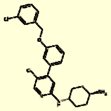 N[C@H]1CC[C@H](Nc2cc(-c3cccc(OCc4cccc(Cl)c4)c3)c(Cl)cn2)CC1